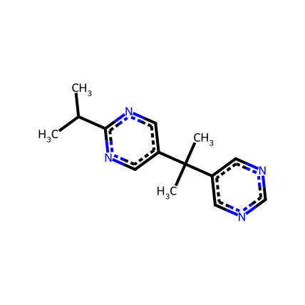 CC(C)c1ncc(C(C)(C)c2cncnc2)cn1